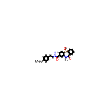 CCN1C(=O)c2ccccc2[S+]([O-])c2ccc(C(=O)NCCc3ccc(OC)cc3)cc21